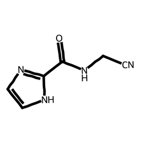 N#CCNC(=O)c1ncc[nH]1